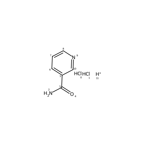 Cl.Cl.NC(=O)c1cccnc1.[H+]